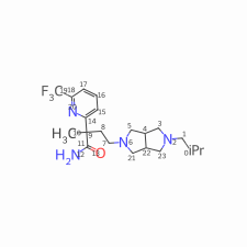 CC(C)CN1CC2CN(CCC(C)(C(N)=O)c3cccc(C(F)(F)F)n3)CC2C1